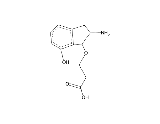 NC1Cc2cccc(O)c2C1OCCC(=O)O